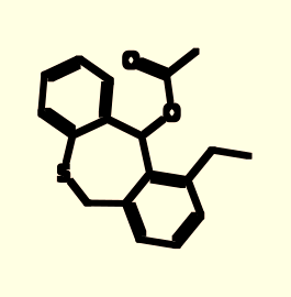 CCc1cccc2c1C(OC(C)=O)c1ccccc1SC2